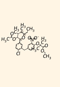 CCOC(=O)C(C)(C)Oc1ccc(Cc2cc([C@@H]3O[C@H](CC)[C@@H](C)C(C)C3OC(C)=O)ccc2Cl)cc1[N+](=O)[O-]